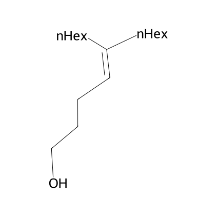 CCCCCCC(=CCCCO)CCCCCC